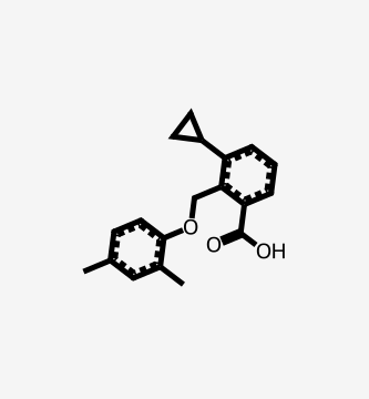 Cc1ccc(OCc2c(C(=O)O)cccc2C2CC2)c(C)c1